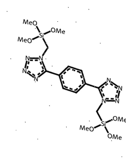 CO[Si](Cn1nnnc1-c1ccc(-c2nnnn2C[Si](OC)(OC)OC)cc1)(OC)OC